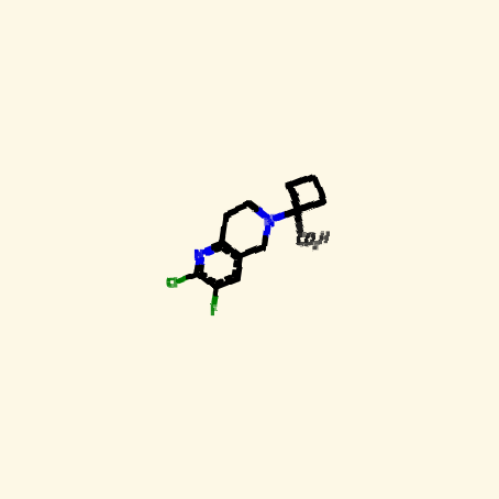 O=C(O)C1(N2CCc3nc(Cl)c(F)cc3C2)CCC1